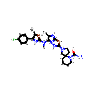 CCc1nc2sc(N3CCC4(CCCCN4C(N)=O)C3)nn2c1N(C)c1nc(-c2ccc(F)cc2)c(C#N)s1